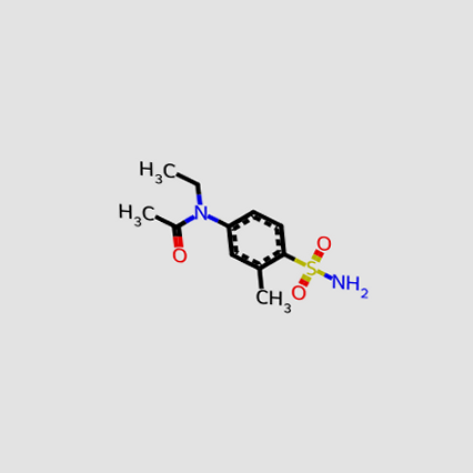 CCN(C(C)=O)c1ccc(S(N)(=O)=O)c(C)c1